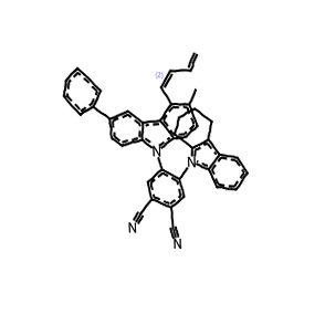 C=C/C=C\c1c(C)ccc2c1c1cc(-c3ccccc3)ccc1n2-c1cc(C#N)c(C#N)cc1-n1c2c(c3ccccc31)CCCC2